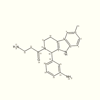 Cc1ccc2[nH]c3c(c2c1)CCN(C(=O)CCN)C3c1cccc(N)c1